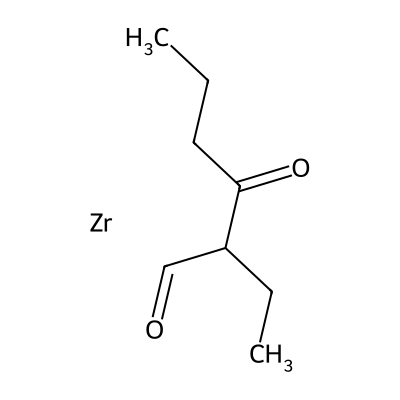 CCCC(=O)C(C=O)CC.[Zr]